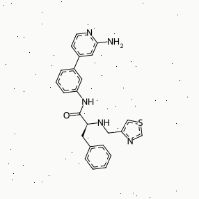 Nc1cc(-c2cccc(NC(=O)[C@H](Cc3ccccc3)NCc3cscn3)c2)ccn1